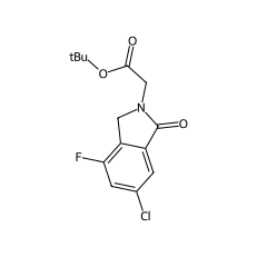 CC(C)(C)OC(=O)CN1Cc2c(F)cc(Cl)cc2C1=O